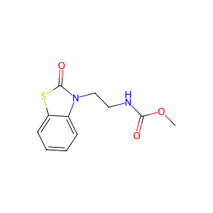 COC(=O)NCCn1c(=O)sc2ccccc21